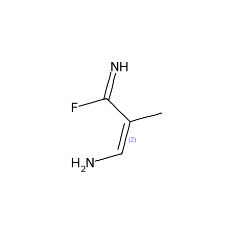 C/C(=C/N)C(=N)F